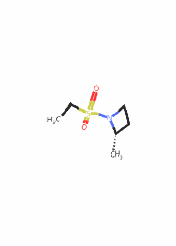 CCS(=O)(=O)N1CC[C@@H]1C